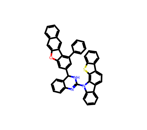 c1ccc(-c2cc(C3NC(n4c5ccccc5c5ccc6c7ccccc7sc6c54)=Nc4ccccc43)cc3oc4cc5ccccc5cc4c23)cc1